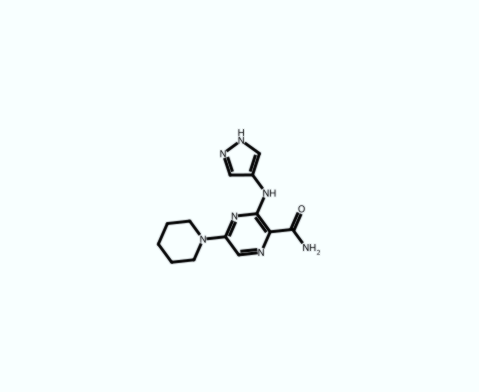 NC(=O)c1ncc(N2CCCCC2)nc1Nc1cn[nH]c1